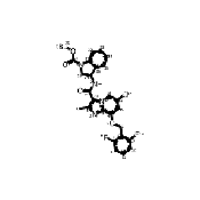 Cc1nc2c(OCc3c(F)cccc3F)cc(Cl)cn2c1C(=O)NC1CN(C(=O)OC(C)(C)C)c2ccccc21